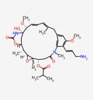 COc1cc2cc(c1/C=C/CN)N(C)C(=O)C[C@H](OC(=O)C(C)C)[C@]1(C)O[C@H]1[C@H](C)[C@@H]1C[C@@](O)(NC(=O)O1)[C@H](OC)/C=C/C=C(\C)C2